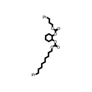 CC(C)CCCCCCCCCOC(=O)OC1CCCCC1OC(=O)OCCCC(C)C